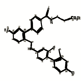 CCOC(=O)CCNC(=O)c1ccc(-c2cc(C(F)(F)F)ccc2CNc2ccc(-c3ccc(Cl)cc3C)c(Cl)c2)cc1